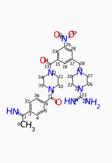 CC(=N)c1ccc(C(=O)N2CCN(C(=O)c3cc(CN4CCN(C(=N)N)CC4)cc([N+](=O)[O-])c3)CC2)cc1